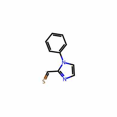 S=[C]c1nccn1-c1ccccc1